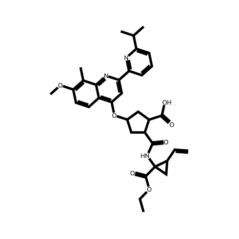 C=CC1CC1(NC(=O)C1CC(Oc2cc(-c3cccc(C(C)C)n3)nc3c(C)c(OC)ccc23)CC1C(=O)O)C(=O)OCC